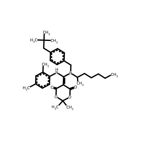 CCCCCC(C)N(Cc1ccc(CC(C)(C)C)cc1)C(Nc1ccc(C)cc1C)=C1C(=O)OC(C)(C)OC1=O